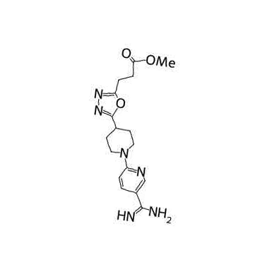 COC(=O)CCc1nnc(C2CCN(c3ccc(C(=N)N)cn3)CC2)o1